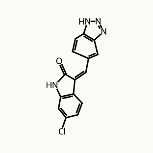 O=C1Nc2cc(Cl)ccc2C1=Cc1ccc2[nH]nnc2c1